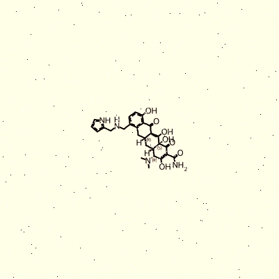 CN(C)[C@H]1C(O)=C(C(N)=O)C(=O)[C@@]2(O)C(O)=C3C(=O)c4c(O)ccc(CNCc5ccc[nH]5)c4C[C@H]3C[C@@H]12